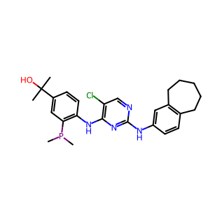 CP(C)c1cc(C(C)(C)O)ccc1Nc1nc(Nc2ccc3c(c2)CCCCC3)ncc1Cl